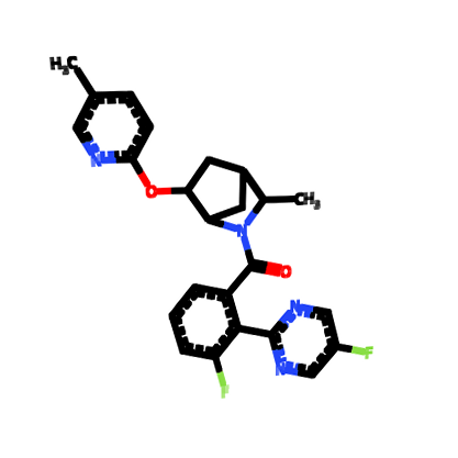 Cc1ccc(OC2CC3CC2N(C(=O)c2cccc(F)c2-c2ncc(F)cn2)C3C)nc1